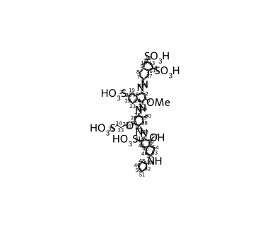 COc1cc(N=Nc2ccc3cc(S(=O)(=O)O)cc(S(=O)(=O)O)c3c2)c2cc(S(=O)(=O)O)ccc2c1N=Nc1cc(OCCCS(=O)(=O)O)c(N=Nc2c(S(=O)(=O)O)cc3cc(Nc4ccccc4)ccc3c2O)cc1C